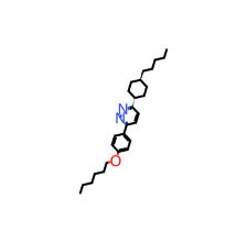 CCCCCCOc1ccc(-c2ccc([C@H]3CC[C@H](CCCCC)CC3)nn2)cc1